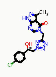 Cc1n[nH]c2ncn(Cc3nnn(C[C@H](O)c4ccc(Cl)cc4)n3)c(=O)c12